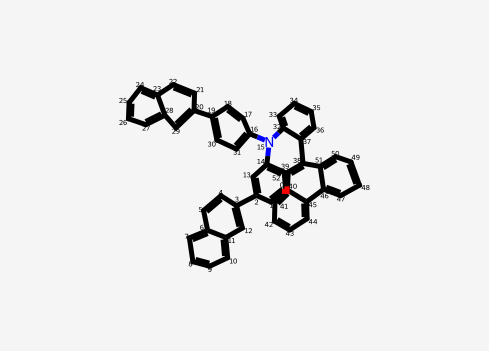 c1cc(-c2ccc3ccccc3c2)cc(N(c2ccc(-c3ccc4ccccc4c3)cc2)c2ccccc2-c2cc3ccccc3c3ccccc23)c1